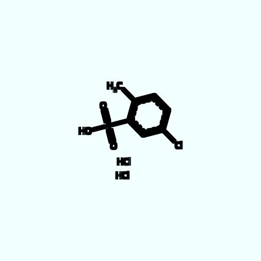 Cc1ccc(Cl)cc1S(=O)(=O)O.Cl.Cl